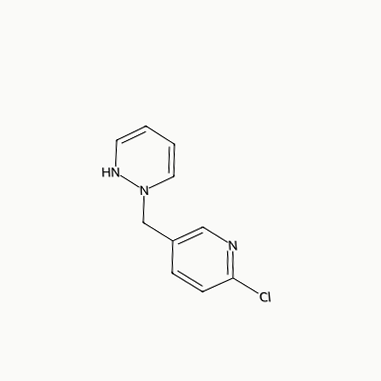 Clc1ccc(CN2C=CC=CN2)cn1